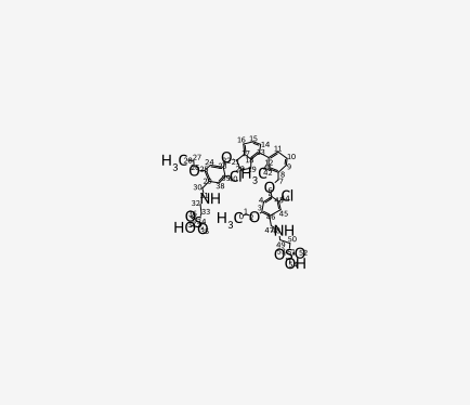 CCOc1cc(OCc2cccc(-c3cccc4c3CC[C@@H]4Oc3cc(OCC)c(CNCCS(=O)(=O)O)cc3Cl)c2C)c(Cl)cc1CNCCS(=O)(=O)O